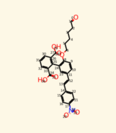 O=CCCCCCOc1ccc(C=Cc2ccc([N+](=O)[O-])cc2)cc1-c1c(C(=O)O)cccc1C(=O)O